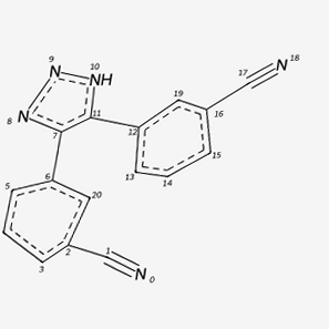 N#Cc1cccc(-c2nn[nH]c2-c2cccc(C#N)c2)c1